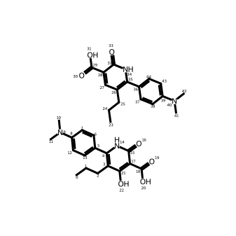 CCCc1c(-c2ccc(N(C)C)cc2)[nH]c(=O)c(C(=O)O)c1O.CCCc1cc(C(=O)O)c(=O)[nH]c1-c1ccc(N(C)C)cc1